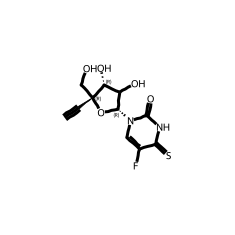 C#C[C@]1(CO)O[C@@H](n2cc(F)c(=S)[nH]c2=O)C(O)[C@H]1O